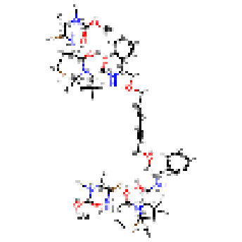 C[C@@H](C(=S)N[C@H]1CCS[C@H]2CC(C)(C)[C@@H](C(=O)N[C@H](COCC#CC#CCOC[C@@H](NC(=O)[C@H]3N4C(=O)[C@@H](NC(=S)[C@H](C)N(C)C(=O)OC(C)(C)C)CCS[C@H]4CC3(C)C)c3ccccc3)c3ccccc3)N2C1=O)N(C)C(=O)OC(C)(C)C